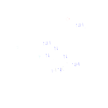 C=C(/N=C1\C(=C/N)N=C(Nc2ccc(F)cc2F)N1[C@H]1CC[C@@H](C(N)=O)CC1)NC1CCCCC1